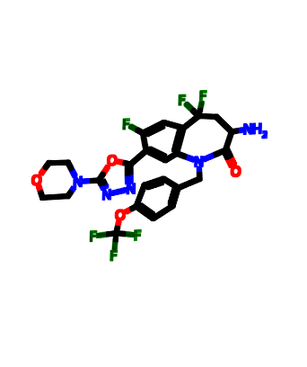 NC1CC(F)(F)c2cc(F)c(-c3nnc(N4CCOCC4)o3)cc2N(Cc2ccc(OC(F)(F)F)cc2)C1=O